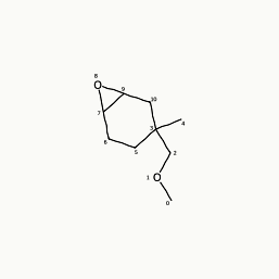 COCC1(C)CCC2OC2C1